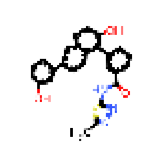 Cc1nnc(NC(=O)c2cccc(-c3c(O)ccc4cc(-c5cccc(O)c5)ccc34)c2)s1